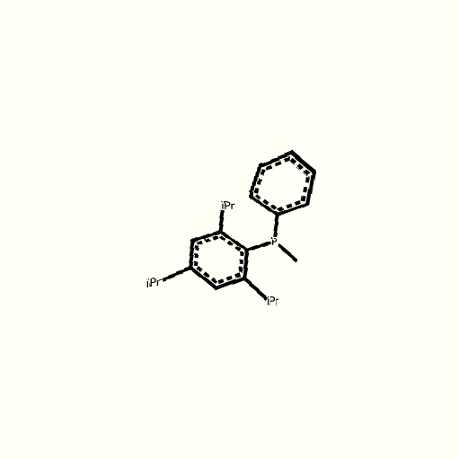 CC(C)c1cc(C(C)C)c(P(C)c2ccccc2)c(C(C)C)c1